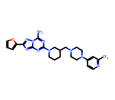 Nc1nc(N2CCCC(CN3CCN(c4ccnc(C(F)(F)F)c4)CC3)C2)nc2nc(-c3ccco3)nn12